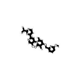 COc1cccc(COc2cc(C)n(-c3cc(-c4ccnc(C(C)C)n4)ncc3Cl)c(=O)c2C)n1